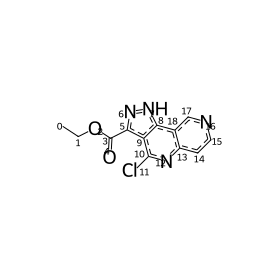 CCOC(=O)c1n[nH]c2c1c(Cl)nc1ccncc12